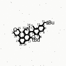 Cc1c2c(c(CC(C)(C)C)c3ccc(CC(C)(C)C)cc13)Oc1cc3cccc(C4CCOCC4)c3c3cc[n+](C)c-2c13